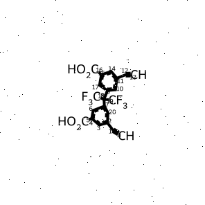 C#Cc1cc(C(=O)O)cc(C(c2cc(C#C)cc(C(=O)O)c2)(C(F)(F)F)C(F)(F)F)c1